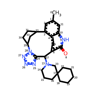 Cc1cc2c3cc(c(=O)[nH]c3c1)C(N1CCCC3(CCCCC3)C1)c1nnnn1C1CCC2C1